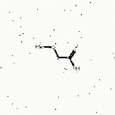 O=C(O)CO[SeH]